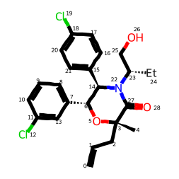 C=CC[C@]1(C)O[C@H](c2cccc(Cl)c2)[C@@H](c2ccc(Cl)cc2)N([C@@H](CC)CO)C1=O